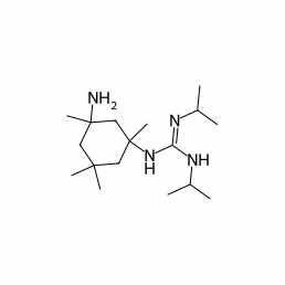 CC(C)N=C(NC(C)C)NC1(C)CC(C)(C)CC(C)(N)C1